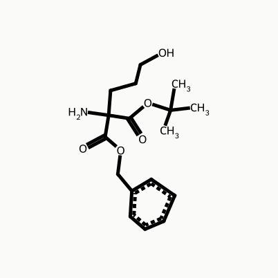 CC(C)(C)OC(=O)C(N)(CCCO)C(=O)OCc1ccccc1